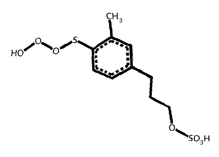 Cc1cc(CCCOS(=O)(=O)O)ccc1SOOO